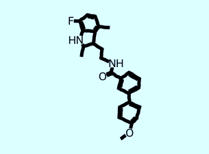 COc1ccc(-c2cccc(C(=O)NCCC3c4c(C)ccc(F)c4NC3C)c2)cc1